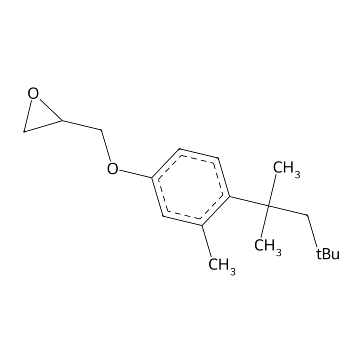 Cc1cc(OCC2CO2)ccc1C(C)(C)CC(C)(C)C